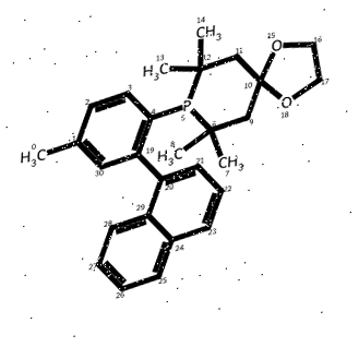 Cc1ccc(P2C(C)(C)CC3(CC2(C)C)OCCO3)c(-c2cccc3ccccc23)c1